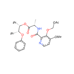 COc1ccnc(C(=O)N[C@@H](C)C(=O)O[C@@H](C(C)C)[C@H](Oc2ccccc2)C(C)C)c1OCOC(C)=O